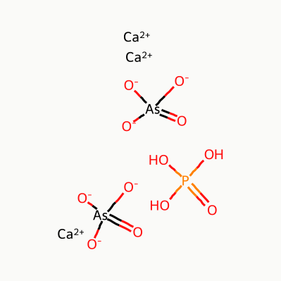 O=P(O)(O)O.O=[As]([O-])([O-])[O-].O=[As]([O-])([O-])[O-].[Ca+2].[Ca+2].[Ca+2]